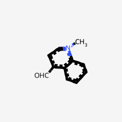 C[n+]1ccc(C=O)c2ccccc21